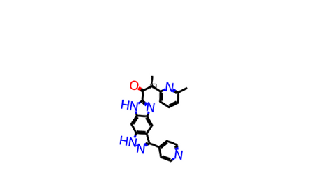 Cc1cccc([C@H](C)C(=O)c2nc3cc4c(-c5ccncc5)n[nH]c4cc3[nH]2)n1